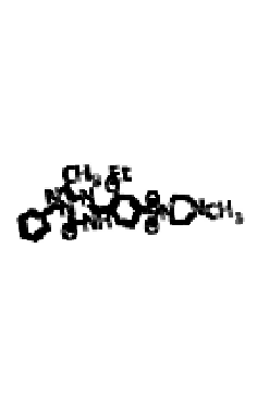 CCOc1cc(S(=O)(=O)N2CCN(C)CC2)ccc1-c1nc2c(C)nc(-c3ccccc3)n2c(=O)[nH]1